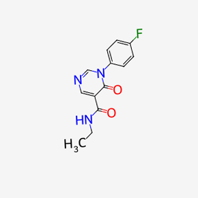 CCNC(=O)c1cncn(-c2ccc(F)cc2)c1=O